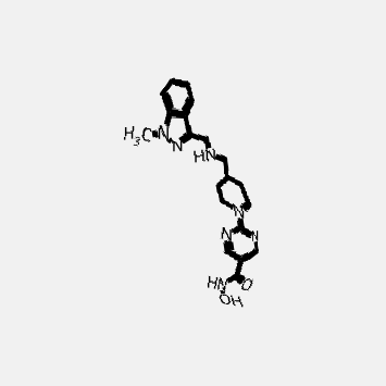 Cn1nc(CNCC2CCN(c3ncc(C(=O)NO)cn3)CC2)c2ccccc21